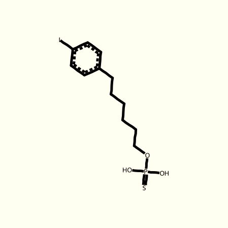 OP(O)(=S)OCCCCCCc1ccc(I)cc1